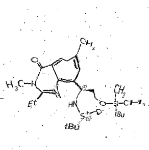 CCc1nc2c([C@@H](CO[Si](C)(C)C(C)(C)C)N[S@+]([O-])C(C)(C)C)cc(C)cc2c(=O)n1C